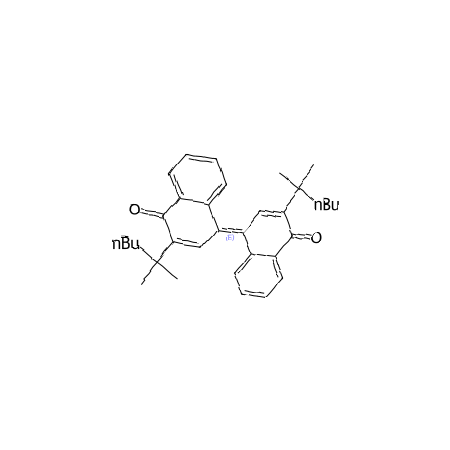 CCCCC(C)(C)C1=C/C(=C2/C=C(C(C)(C)CCCC)C(=O)c3ccccc32)c2ccccc2C1=O